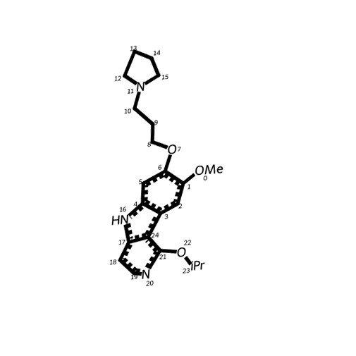 COc1cc2c(cc1OCCCN1CCCC1)[nH]c1ccnc(OC(C)C)c12